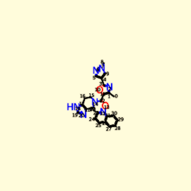 Cc1nc(-c2cnn(C)c2)oc1C(=O)N1CCc2[nH]cnc2[C@H]1c1ccc2ccccc2n1